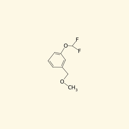 COCc1cccc(OC(F)F)c1